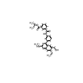 CNc1nc(-c2cccc(NC(=O)c3cccc(C(=O)OC(C)C)c3)c2)c2cc(CO)c(OC)cc2n1